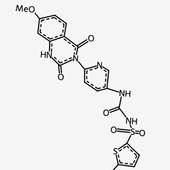 COc1ccc2c(=O)n(-c3ccc(NC(=O)NS(=O)(=O)c4ccc(Cl)s4)cn3)c(=O)[nH]c2c1